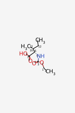 CCOC(=O)N[C@H](C(=O)O)[C@@H](C)CC